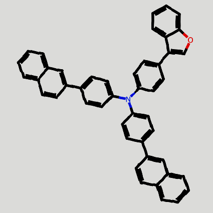 c1ccc2cc(-c3ccc(N(c4ccc(-c5ccc6ccccc6c5)cc4)c4ccc(-c5coc6ccccc56)cc4)cc3)ccc2c1